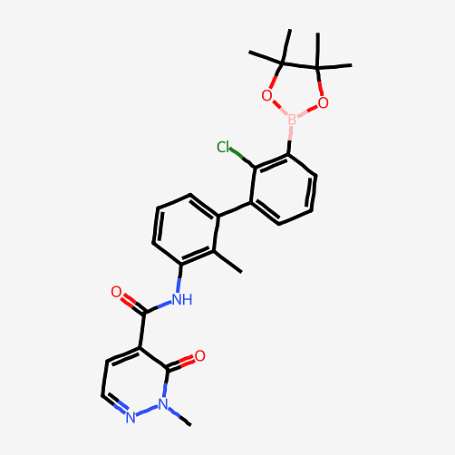 Cc1c(NC(=O)c2ccnn(C)c2=O)cccc1-c1cccc(B2OC(C)(C)C(C)(C)O2)c1Cl